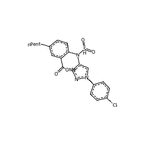 CCCCCc1ccc(N(c2cnn(-c3ccc(Cl)cc3)c2)[SH](=O)=O)c(C(=O)OC)c1